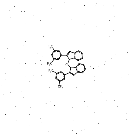 FC(F)(F)c1cc(C2=Cc3ccccc3[CH]2[Zr][CH]2C(c3cc(C(F)(F)F)cc(C(F)(F)F)c3)=Cc3ccccc32)cc(C(F)(F)F)c1